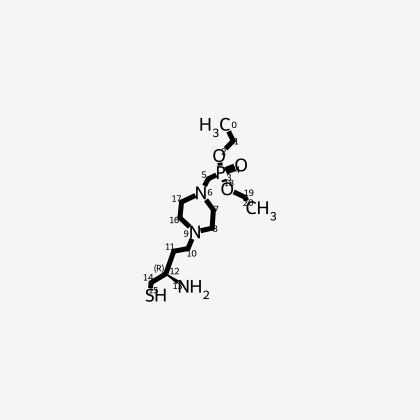 CCOP(=O)(CN1CCN(CC[C@@H](N)CS)CC1)OCC